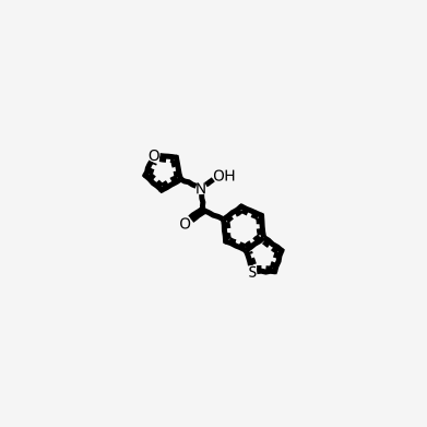 O=C(c1ccc2ccsc2c1)N(O)c1ccoc1